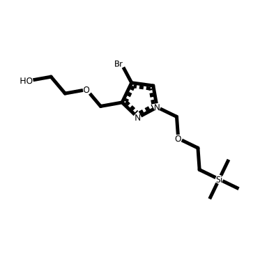 C[Si](C)(C)CCOCn1cc(Br)c(COCCO)n1